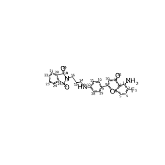 Nc1c(F)ccc2oc(-c3ccc(NCCCN4C(=O)c5ccccc5C4=O)cc3)cc(=O)c12